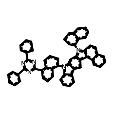 c1ccc(-c2nc(-c3ccccc3)nc(-c3cccc4c(-n5c6ccccc6c6cc7c8c9ccccc9ccc8n(-c8cccc9ccccc89)c7cc65)cccc34)n2)cc1